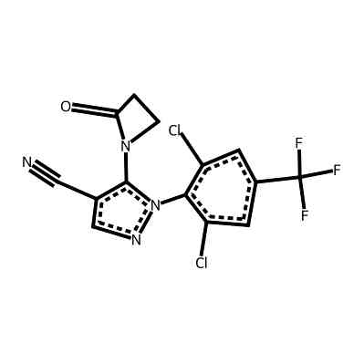 N#Cc1cnn(-c2c(Cl)cc(C(F)(F)F)cc2Cl)c1N1CCC1=O